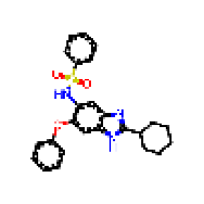 O=S(=O)(Nc1cc2nc(C3CCCCC3)[nH]c2cc1Oc1ccccc1)c1ccccc1